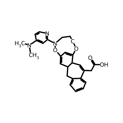 CN(C)c1ccnc(N2CCCOC3=CC(=CC4Cc5ccccc5C(CC(=O)O)=CC34)O2)c1